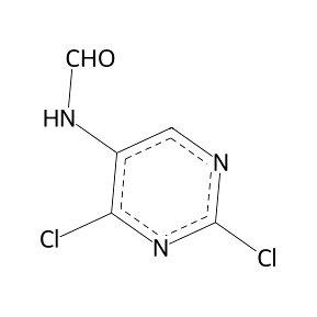 O=CNc1cnc(Cl)nc1Cl